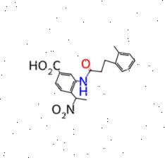 Cc1ccccc1CCC(=O)Nc1cc(C(=O)O)ccc1C(C)[N+](=O)[O-]